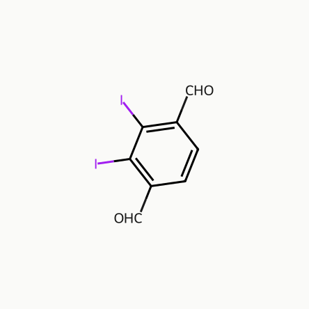 O=Cc1ccc(C=O)c(I)c1I